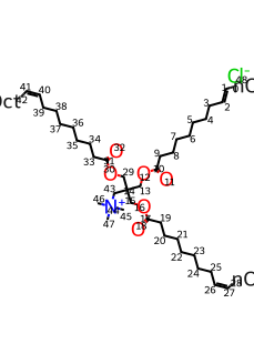 CCCCCCCCC=CCCCCCCCC(=O)OCC(COC(=O)CCCCCCC/C=C\CCCCCCCC)(COC(=O)CCCCCCC/C=C\CCCCCCCC)C[N+](C)(C)C.[Cl-]